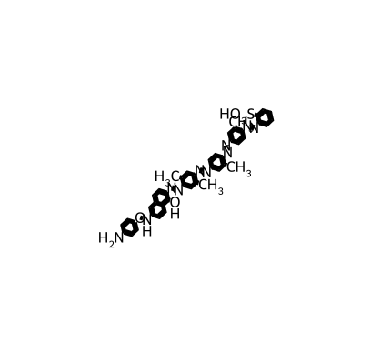 Cc1cc(N=Nc2cc(C)c(N=Nc3ccc4cc(NOc5ccc(N)cc5)ccc4c3O)cc2C)ccc1N=Nc1ccc(N=Nc2ccccc2S(=O)(=O)O)c(C)c1